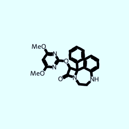 COc1cc(OC)nc(OC2C(=O)N3CCNc4ccccc4C23c2ccccc2)n1